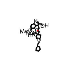 COc1ccc2ncc(CO)c(CCCC3(C(=O)NO)CCN(CCC4CCCCC4)CC3)c2c1